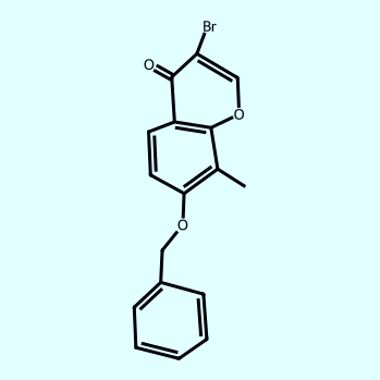 Cc1c(OCc2ccccc2)ccc2c(=O)c(Br)coc12